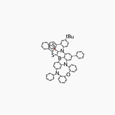 CC(C)(C)c1ccc(N2c3cc(-c4ccccc4)cc4c3B(c3ccc5cc3N4c3ccccc3Oc3ccccc3N5c3ccccc3)c3sc4c(sc5ccccc54)c32)c(-c2ccccc2)c1